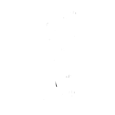 CCCOc1ccc(OC[C@H]2CC[C@H](C3(C(CCC)CCC)CCCCC3)CC2)c(F)c1F